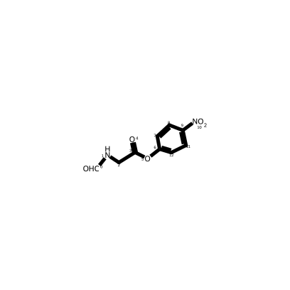 O=CNCC(=O)Oc1ccc([N+](=O)[O-])cc1